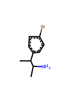 CC(N)C(C)c1ccc(Br)cc1